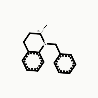 C[C@H]1CCc2ccccc2N1Cc1ccccc1